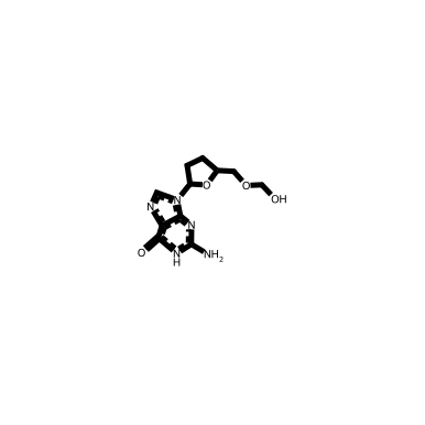 Nc1nc2c(ncn2C2CCC(COCO)O2)c(=O)[nH]1